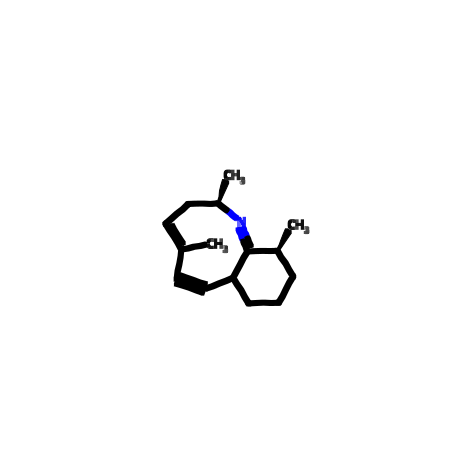 C/C1=C\C[C@@H](C)/N=C2\C(C#C1)CCC[C@@H]2C